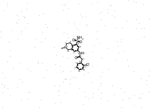 CN1CCc2c(cc(NC(=O)Cc3ccccc3Cl)cc2S(N)(=O)=O)C1